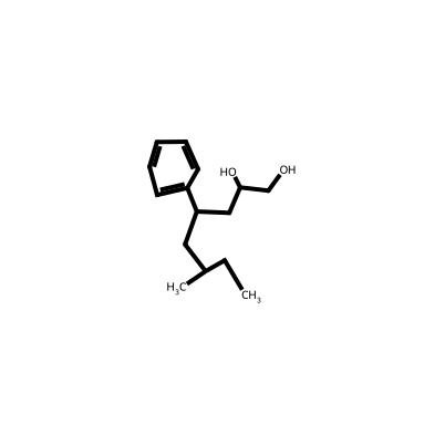 CCC(C)CC(CC(O)CO)c1ccccc1